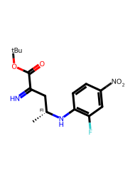 C[C@H](CC(=N)C(=O)OC(C)(C)C)Nc1ccc([N+](=O)[O-])cc1F